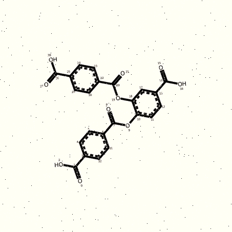 O=C(O)c1ccc(C(=O)Oc2ccc(C(=O)O)cc2OC(=O)c2ccc(C(=O)O)cc2)cc1